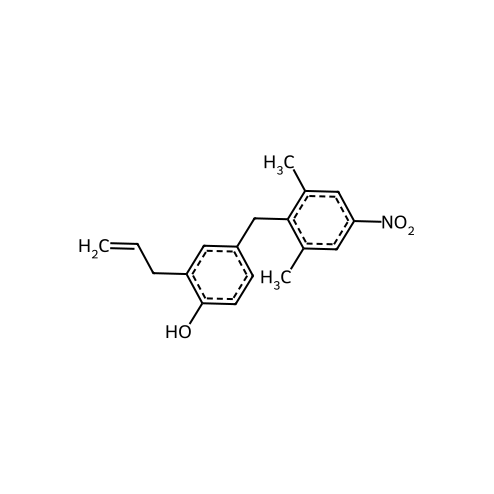 C=CCc1cc(Cc2c(C)cc([N+](=O)[O-])cc2C)ccc1O